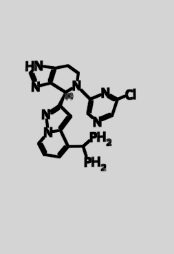 PC(P)c1cccn2nc([C@H]3c4nc[nH]c4CCN3c3cncc(Cl)n3)cc12